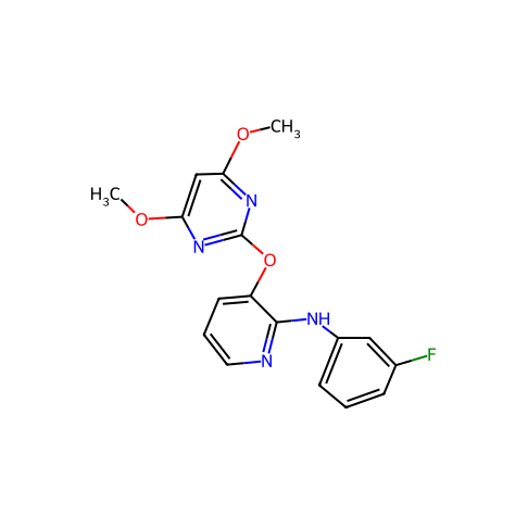 COc1cc(OC)nc(Oc2cccnc2Nc2cccc(F)c2)n1